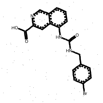 O=C(NCc1ccc(Br)cc1)Nc1cccc2cnc(C(=O)O)cc12